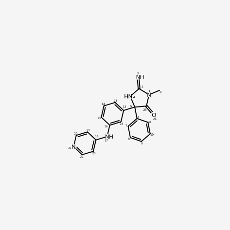 CN1C(=N)NC(c2ccccc2)(c2cccc(Nc3ccncc3)c2)C1=O